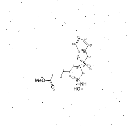 COC(=O)CCCCCN(CC(=O)NO)S(=O)(=O)Cc1ccccc1